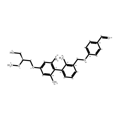 CO[C@@H](CO)COc1cc(C)c(-c2cccc(COc3ccc(C=O)cc3)c2C)c(C)c1